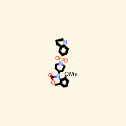 COc1cccc2c1N(C1CCN(S(=O)(=O)c3ccc4ncccc4c3)CC1)C(=O)OC2